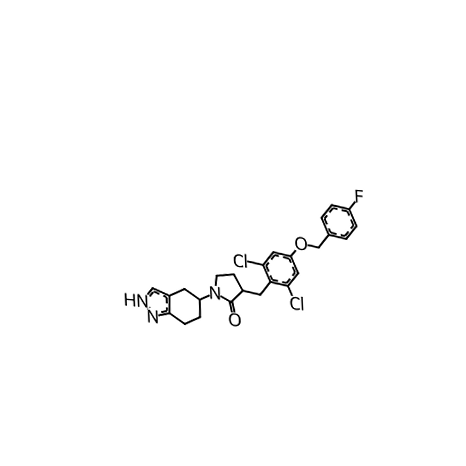 O=C1C(Cc2c(Cl)cc(OCc3ccc(F)cc3)cc2Cl)CCN1C1CCc2n[nH]cc2C1